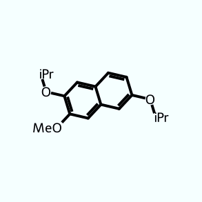 COc1cc2cc(OC(C)C)ccc2cc1OC(C)C